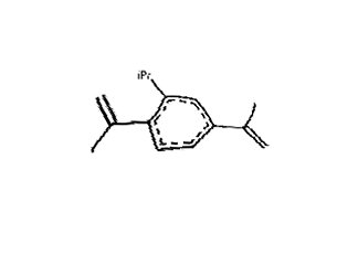 C=C(C)c1ccc(C(=C)C)c(C(C)C)c1